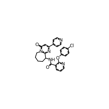 O=C(NC1CCCCn2c1nc(-c1ccncc1)cc2=O)c1cccnc1Oc1ccc(Cl)cc1